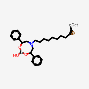 CCCCCCCCC1=C(CCCCCCCCN2CC(c3ccccc3)OB(O)OC(c3ccccc3)C2)S1